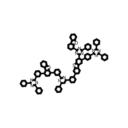 c1ccc(-c2cc(-c3cccc(-c4ccc5c(c4)sc4cc(-c6nc(-c7ccccc7)nc(-c7cccc8c7oc7ccccc78)n6)c(-c6ccc(-c7nc(-c8ccccc8)nc(-c8ccccc8)n7)cc6)cc45)c3)nc(-c3cccc(-c4ccc(-c5cccc(-c6nc(-c7ccccc7)nc(-c7ccccc7)n6)c5)c5c4sc4ccccc45)c3)n2)cc1